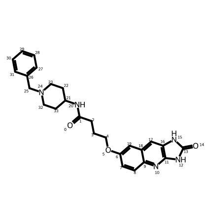 O=C(CCCOc1ccc2nc3[nH]c(=O)[nH]c3cc2c1)NC1CCN(Cc2ccccc2)CC1